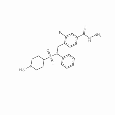 CN1CCC(S(=O)(=O)N(Cc2ccc(C(=O)NN)cc2F)c2ccccc2)CC1